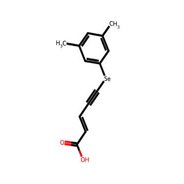 Cc1cc(C)cc([Se]C#CC=CC(=O)O)c1